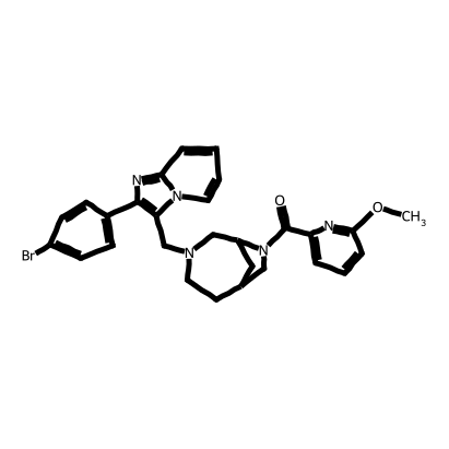 COc1cccc(C(=O)N2CC3CCN(Cc4c(-c5ccc(Br)cc5)nc5ccccn45)CC2C3)n1